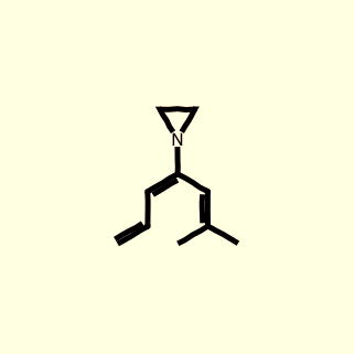 C=C/C=C(\C=C(C)C)N1CC1